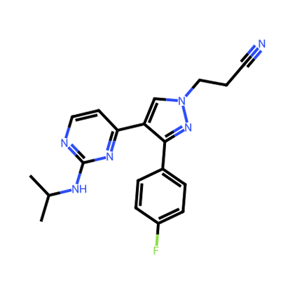 CC(C)Nc1nccc(-c2cn(CCC#N)nc2-c2ccc(F)cc2)n1